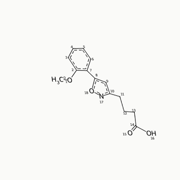 COc1ccccc1-c1cc(CCCC(=O)O)no1